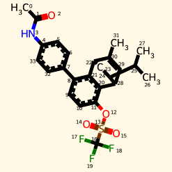 CC(=O)Nc1ccc(-c2ccc(OS(=O)(=O)C(F)(F)F)c3c2C2CC(C(C)C)C3C=C2C)cc1